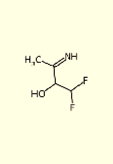 CC(=N)C(O)C(F)F